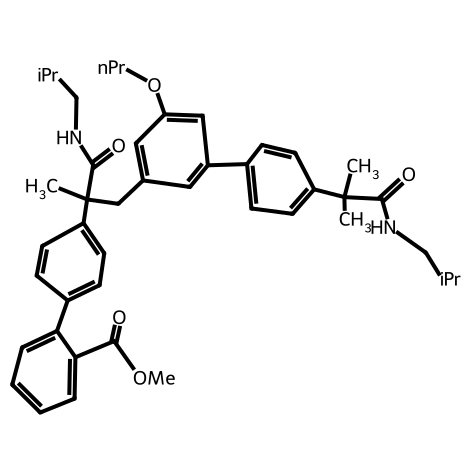 CCCOc1cc(CC(C)(C(=O)NCC(C)C)c2ccc(-c3ccccc3C(=O)OC)cc2)cc(-c2ccc(C(C)(C)C(=O)NCC(C)C)cc2)c1